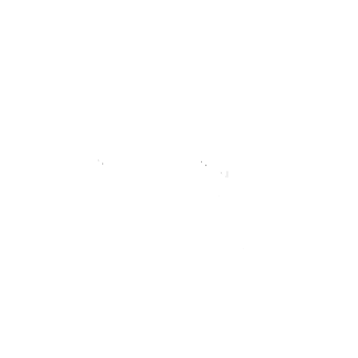 C1=C(c2ccc3ccccc3c2)NN(c2ccccc2)C1c1ccc(N(c2ccccc2)c2ccccc2)cc1